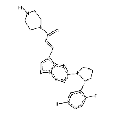 CCN1CCN(C(=O)/C=C/c2cnn3ccc(N4CCC[C@@H]4c4cc(F)ccc4F)nc23)CC1